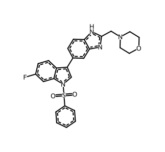 O=S(=O)(c1ccccc1)n1cc(-c2ccc3[nH]c(CN4CCOCC4)nc3c2)c2ccc(F)cc21